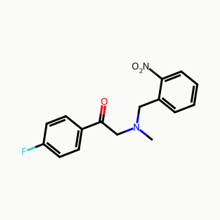 CN(CC(=O)c1ccc(F)cc1)Cc1ccccc1[N+](=O)[O-]